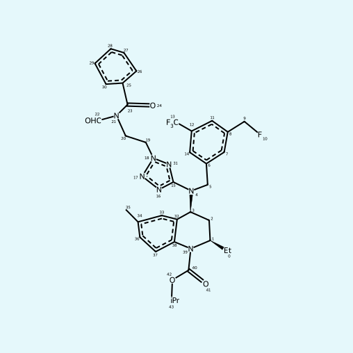 CC[C@@H]1C[C@H](N(Cc2cc(CF)cc(C(F)(F)F)c2)c2nnn(CCN(C=O)C(=O)c3ccccc3)n2)c2cc(C)ccc2N1C(=O)OC(C)C